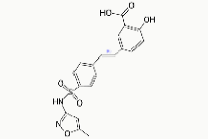 Cc1cc(NS(=O)(=O)c2ccc(/C=C/c3ccc(O)c(C(=O)O)c3)cc2)no1